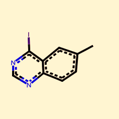 Cc1ccc2ncnc(I)c2c1